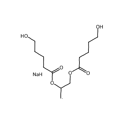 [CH2]C(COC(=O)CCCCO)OC(=O)CCCCO.[NaH]